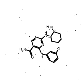 NC(=O)c1cnc(N[C@@H]2CCCC[C@@H]2N)nc1Nc1cccc(Cl)c1